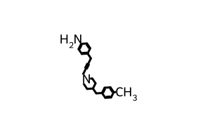 Cc1ccc(CC2CCN(CC#CCc3ccc(N)cc3)CC2)cc1